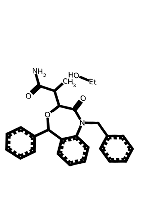 CC(C(N)=O)C1OC(c2ccccc2)c2ccccc2N(Cc2ccccc2)C1=O.CCO